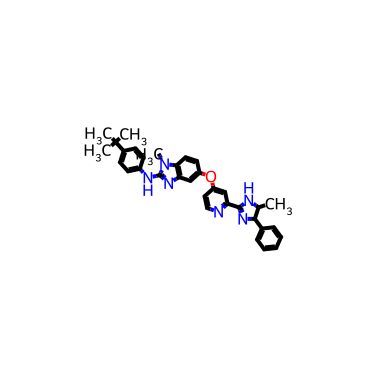 CC1NC(c2cc(Oc3ccc4c(c3)nc(Nc3ccc(C(C)(C)C)cc3)n4C)ccn2)=NC1c1ccccc1